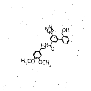 COc1ccc(CCNC(=O)c2cc(-c3ccccc3CO)cc(-n3cnnn3)c2)cc1OC